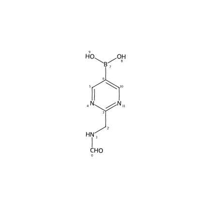 O=CNCc1ncc(B(O)O)cn1